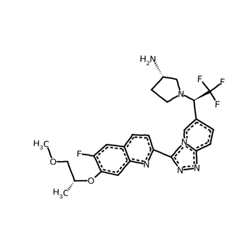 COC[C@@H](C)Oc1cc2nc(-c3nnc4ccc([C@@H](N5CC[C@H](N)C5)C(F)(F)F)cn34)ccc2cc1F